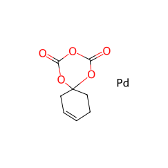 O=C1OC(=O)OC2(CC=CCC2)O1.[Pd]